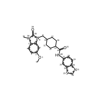 COc1ccc2c(c1)n(CC1CCC(C(=O)Nc3ccc4ncsc4c3)CC1)c(=O)n2C